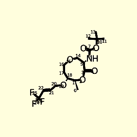 C[C@@H]1OC(=O)[C@@H](NC(=O)OC(C)(C)C)COCC[C@H]1OC/C=C/C(F)(F)F